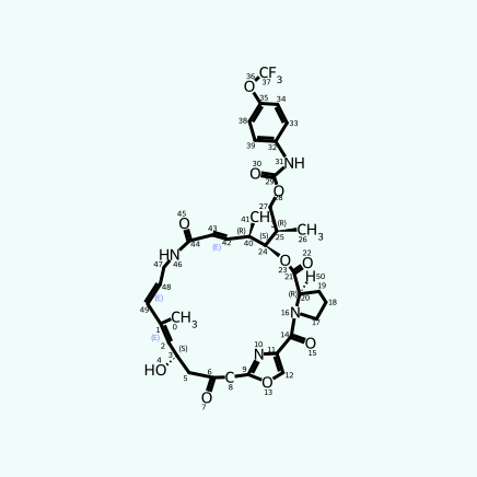 CC1=C\[C@@H](O)CC(=O)Cc2nc(co2)C(=O)N2CCC[C@@H]2C(=O)O[C@H]([C@H](C)COC(=O)Nc2ccc(OC(F)(F)F)cc2)[C@H](C)/C=C/C(=O)NC\C=C\1